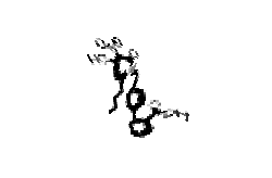 CCCCc1cc(O)c([N+](=O)[O-])c(=O)n1Cc1ccc(-c2ccccc2C(=O)O)cc1